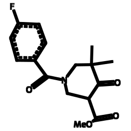 COC(=O)C1CN(C(=O)c2ccc(F)cc2)CC(C)(C)C1=O